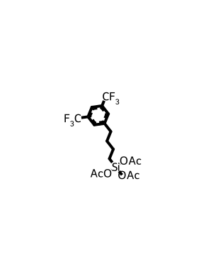 CC(=O)O[Si](CCCCc1cc(C(F)(F)F)cc(C(F)(F)F)c1)(OC(C)=O)OC(C)=O